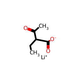 CCC(C(C)=O)C(=O)[O-].[Li+]